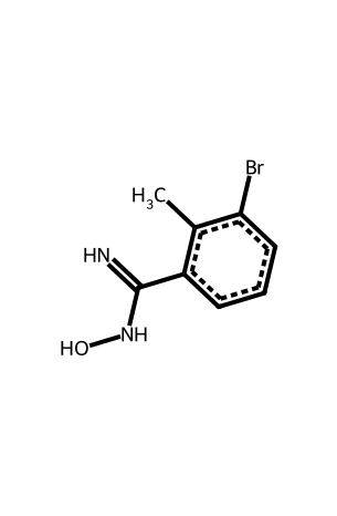 Cc1c(Br)cccc1C(=N)NO